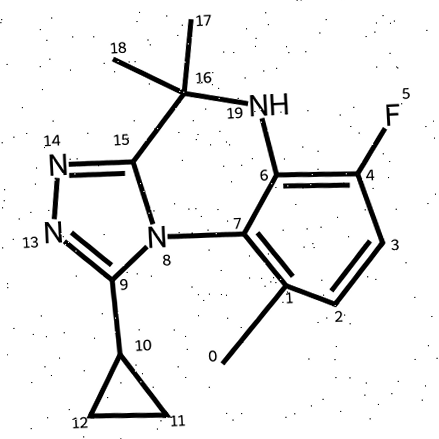 Cc1ccc(F)c2c1-n1c(C3CC3)nnc1C(C)(C)N2